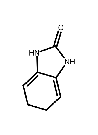 O=c1[nH]c2c([nH]1)=CCCC=2